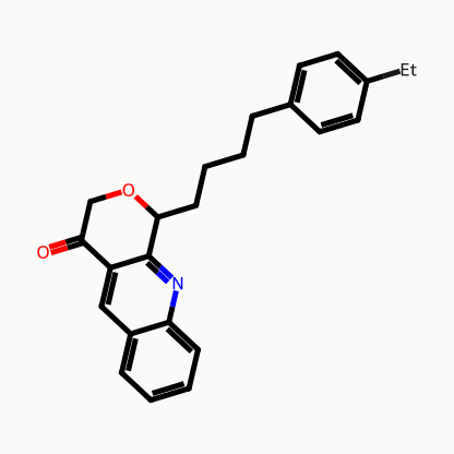 CCc1ccc(CCCCC2OCC(=O)c3cc4ccccc4nc32)cc1